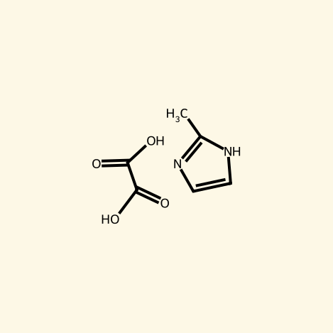 Cc1ncc[nH]1.O=C(O)C(=O)O